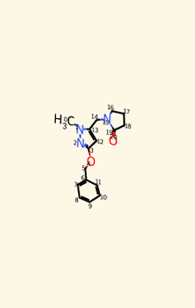 Cn1nc(OCc2ccccc2)cc1CN1CCCC1=O